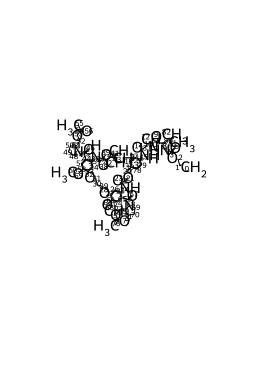 C=CCOC(=O)NC(C(=O)NC(C)C(=O)Nc1ccc(COC(=O)Nc2cc(OCCCOc3cc(NC(=O)OC(C)(C)C)c(C(=O)N4CCC[C@H]4COC(C)=O)cc3OC)c(OC)cc2C(=O)N2CCC[C@H]2COC(C)=O)cc1)C(C)C